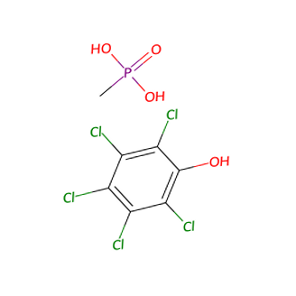 CP(=O)(O)O.Oc1c(Cl)c(Cl)c(Cl)c(Cl)c1Cl